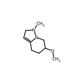 COC1CCC2=CCN(C)N2C1